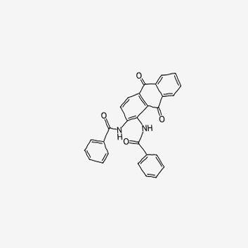 O=C(Nc1ccc2c(c1NC(=O)c1ccccc1)C(=O)c1ccccc1C2=O)c1ccccc1